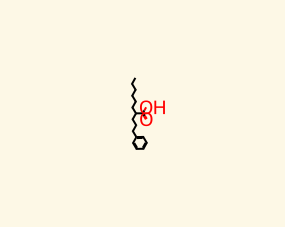 CCCCCCC(CCCc1ccccc1)C(=O)O